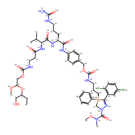 CCC(CO)OC(COC(=O)NCCC(=O)N[C@H](C(=O)N[C@@H](CCCNC(N)=O)C(=O)Nc1ccc(COC(=O)NCCC[S@]2(c3ccccc3)CN(C(=O)N(C)OC)N=C2c2cc(F)ccc2F)cc1)C(C)C)OC